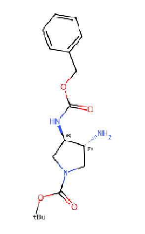 CC(C)(C)OC(=O)N1C[C@@H](N)[C@H](NC(=O)OCc2ccccc2)C1